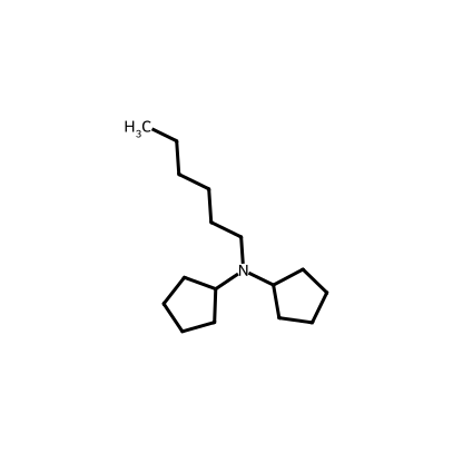 CCCCCCN(C1CCCC1)C1CCCC1